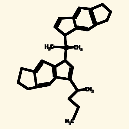 CCCC(C)C1=CC([Si](C)(C)C2C=Cc3cc4c(cc32)CCC4)c2cc3c(cc21)CCC3